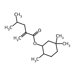 C=C(CC(C)C)C(=O)OC1CC(C)(C)CCC1C